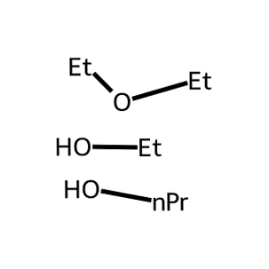 CCCO.CCO.CCOCC